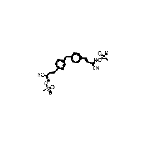 CS(=O)(=O)ON=C(C#N)C=Cc1ccc(Cc2ccc(C=CC(C#N)=NOS(C)(=O)=O)cc2)cc1